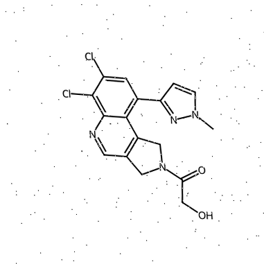 Cn1ccc(-c2cc(Cl)c(Cl)c3ncc4c(c23)CN(C(=O)CO)C4)n1